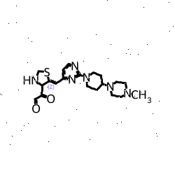 CN1CCN(C2CCN(c3nccc(/C=C4\SCNC4C(=O)C=O)n3)CC2)CC1